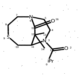 CC(C)C(=O)N1CCN2CCSCC1C(C)(C)C2=O